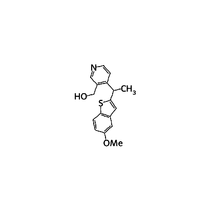 COc1ccc2sc(C(C)c3ccncc3CO)cc2c1